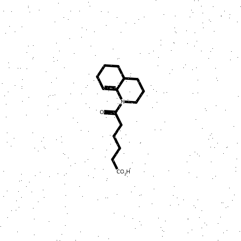 O=C(O)CCCCC(=O)N1CCCC2CCCC=C21